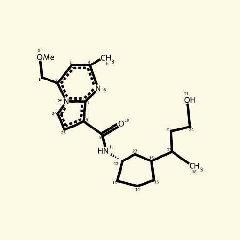 COCc1cc(C)nc2c(C(=O)N[C@H]3CCCC(C(C)CCO)C3)ccn12